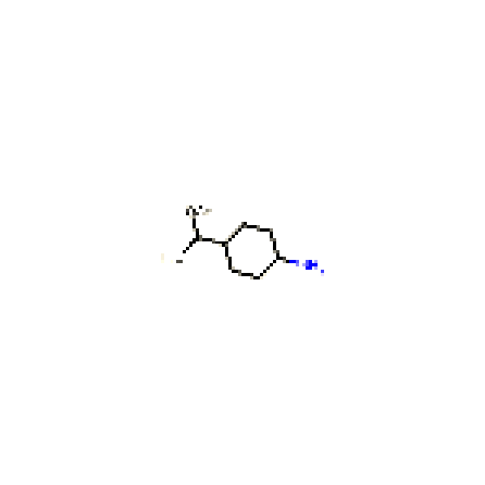 CC(=O)OC(C)C1CCC(N)CC1